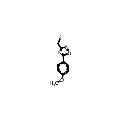 COc1ccc(-c2nc(CCl)no2)cc1